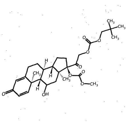 COC(=O)O[C@]1(C(=O)COC(=O)OCC(C)(C)C)CC[C@H]2[C@@H]3CCC4=CC(=O)C=C[C@]4(C)[C@H]3C(O)C[C@@]21C